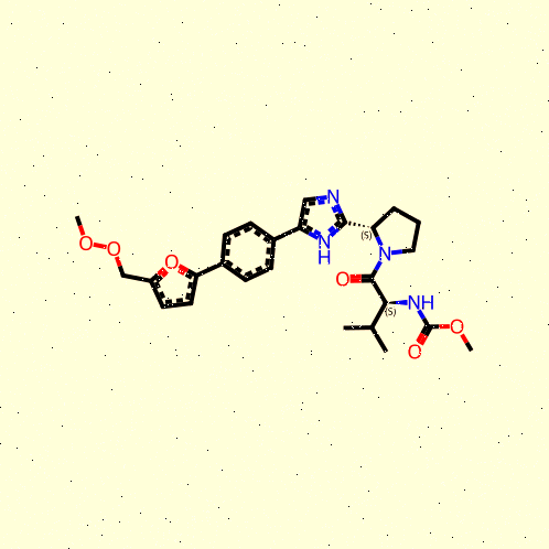 COOCc1ccc(-c2ccc(-c3cnc([C@@H]4CCCN4C(=O)[C@@H](NC(=O)OC)C(C)C)[nH]3)cc2)o1